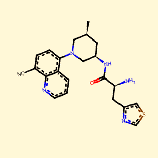 C[C@H]1C[C@@H](NC(=O)[C@@H](N)Cc2cscn2)CN(c2ccc(C#N)c3ncccc23)C1